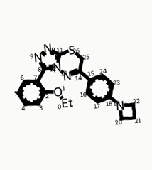 CCOc1ccccc1-c1nnc2n1N=C(c1ccc(N3CCC3)cc1)CS2